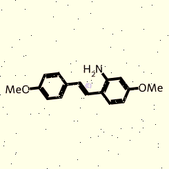 COc1ccc(/C=C/c2ccc(OC)cc2N)cc1